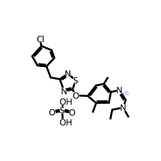 CCN(C)/C=N\c1cc(C)c(Oc2nc(Cc3ccc(Cl)cc3)ns2)cc1C.O=S(=O)(O)O